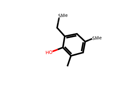 CSCc1cc(SC)cc(C)c1O